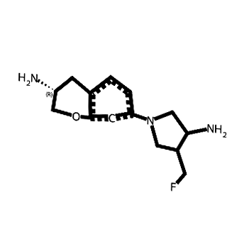 NC1CN(c2ccc3c(c2)OC[C@H](N)C3)CC1CF